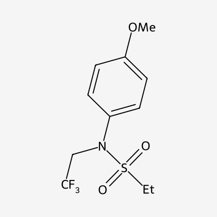 CCS(=O)(=O)N(CC(F)(F)F)c1ccc(OC)cc1